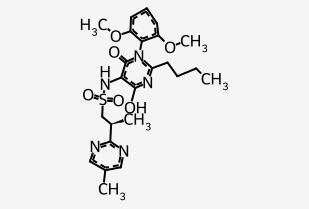 CCCCc1nc(O)c(NS(=O)(=O)C[C@@H](C)c2ncc(C)cn2)c(=O)n1-c1c(OC)cccc1OC